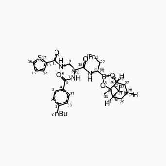 CCCCc1ccc(C(=O)N[C@@H](CNC(=O)c2cccs2)C(=O)N[C@@H](CC(C)C)B2O[C@@H]3C[C@@H]4C[C@@H](C4(C)C)[C@]3(C)O2)cc1